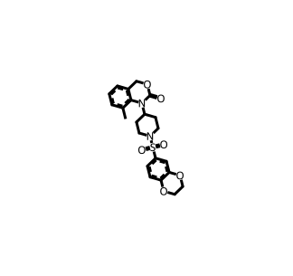 Cc1cccc2c1N(C1CCN(S(=O)(=O)c3ccc4c(c3)OCCO4)CC1)C(=O)OC2